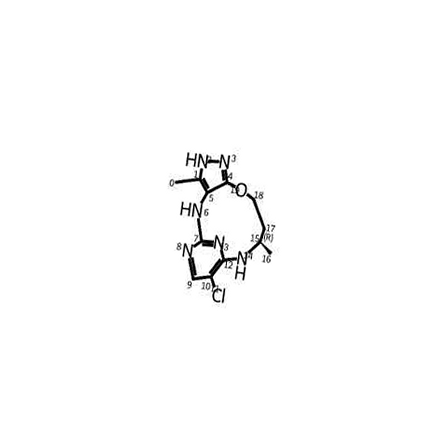 Cc1[nH]nc2c1Nc1ncc(Cl)c(n1)N[C@H](C)CCO2